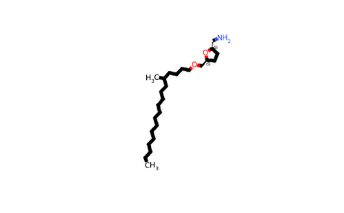 CCCCCCCCCCCCCC(C)CCCCOC[C@@H]1CC[C@@H](CN)O1